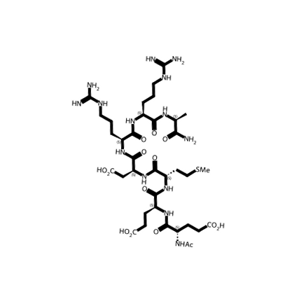 CSCC[C@H](NC(=O)[C@H](CCC(=O)O)NC(=O)[C@H](CCC(=O)O)NC(C)=O)C(=O)N[C@@H](CC(=O)O)C(=O)N[C@@H](CCCNC(=N)N)C(=O)N[C@@H](CCCNC(=N)N)C(=O)N[C@@H](C)C(N)=O